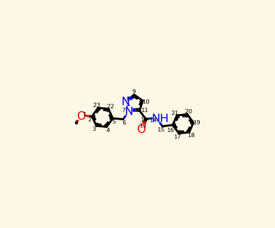 COc1ccc(Cn2nccc2C(=O)NCc2ccccc2)cc1